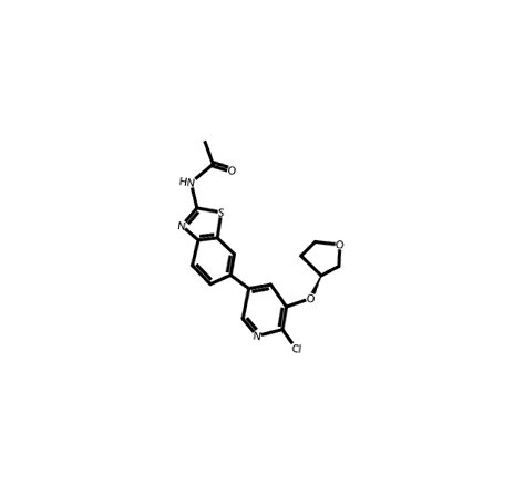 CC(=O)Nc1nc2ccc(-c3cnc(Cl)c(O[C@H]4CCOC4)c3)cc2s1